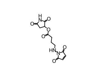 O=C1CC(OC(=O)CCCNN2C(=O)C=CC2=O)C(=O)N1